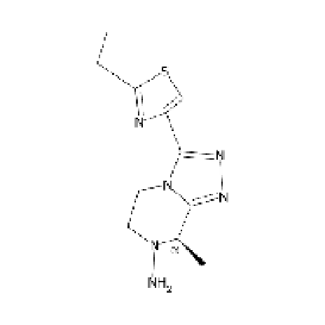 CCc1nc(-c2nnc3n2CCN(N)[C@@H]3C)cs1